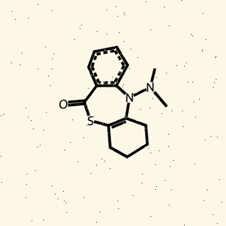 CN(C)N1C2=C(CCCC2)SC(=O)c2ccccc21